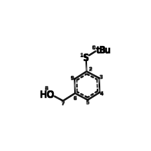 CC(C)(C)Sc1cccc(CO)c1